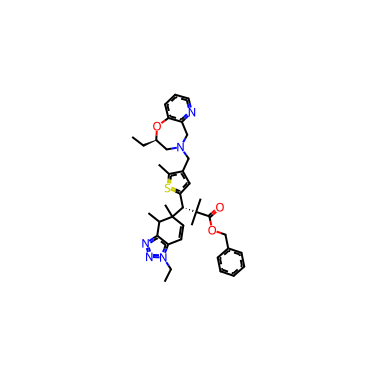 CC[C@@H]1CN(Cc2cc([C@H](C(C)(C)C(=O)OCc3ccccc3)C3(C)C=Cc4c(nnn4CC)C3C)sc2C)Cc2ncccc2O1